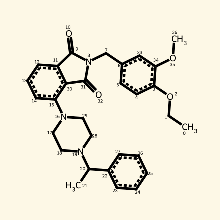 CCOc1ccc(CN2C(=O)c3cccc(N4CCN(C(C)c5ccccc5)CC4)c3C2=O)cc1OC